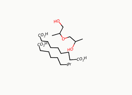 CC(C)CCCCCC(=O)O.CC(O)COC(C)CO.O=C(O)CCCCCCCC(=O)O